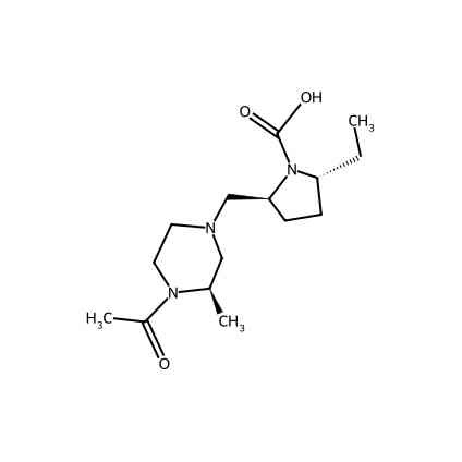 CC[C@@H]1CC[C@@H](CN2CCN(C(C)=O)[C@H](C)C2)N1C(=O)O